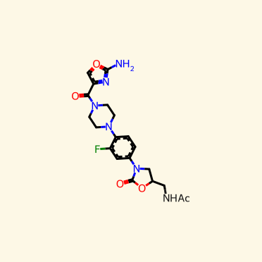 CC(=O)NCC1CN(c2ccc(N3CCN(C(=O)c4coc(N)n4)CC3)c(F)c2)C(=O)O1